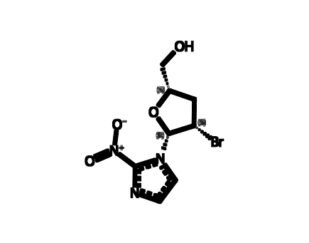 O=[N+]([O-])c1nccn1[C@@H]1O[C@H](CO)C[C@@H]1Br